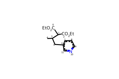 CCOC(=O)C(C(=O)OCC)C(C)Cc1cccnc1